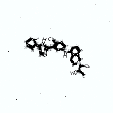 CC(O)C(=O)N1CCc2c(cccc2Nc2ccc(Cl)c(-c3ncc(-c4ccccc4)[nH]3)c2)C1